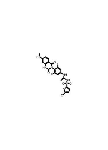 CNc1ccc2c(=O)n(-c3c(F)cc(NC(=O)NS(=O)(=O)c4ccc(Cl)s4)cc3F)c(=O)[nH]c2c1